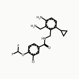 NCc1c(N)ccc(C2CC2)c1CNC(=O)c1ccc(OC(F)F)c(Cl)c1